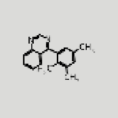 Cc1cc(C)c(C)c(-c2ncnc3ccccc23)c1